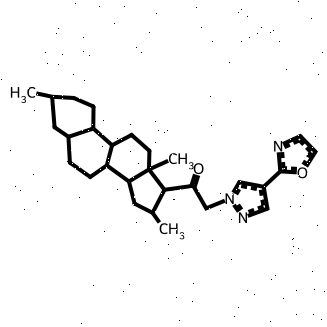 CC1CCC2C(CCC3C2CCC2(C)C3CC(C)C2C(=O)Cn2cc(-c3ncco3)cn2)C1